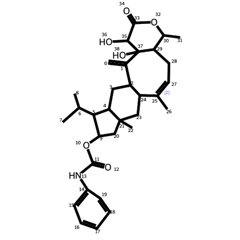 C=C1C2CC3C(C(C)C)C(OC(=O)Nc4ccccc4)CC3(C)CC2/C(C)=C\CC2C(C)OC(=O)C(O)C12O